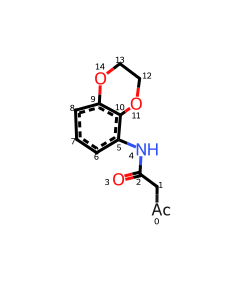 CC(=O)CC(=O)Nc1cccc2c1OCCO2